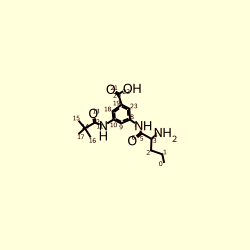 CCCC(N)C(=O)Nc1cc(NC(=O)C(C)(C)C)cc(C(=O)O)c1